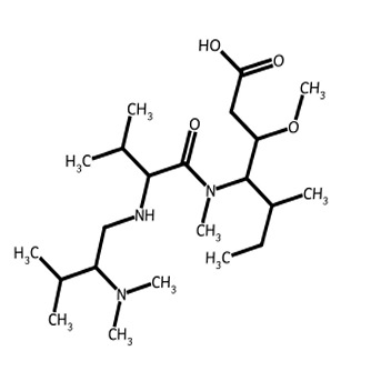 CCC(C)C(C(CC(=O)O)OC)N(C)C(=O)C(NCC(C(C)C)N(C)C)C(C)C